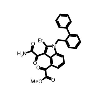 CCc1c(C(=O)C(N)=O)c2c(C(=O)C(=O)OC)cccc2n1Cc1ccccc1-c1ccccc1